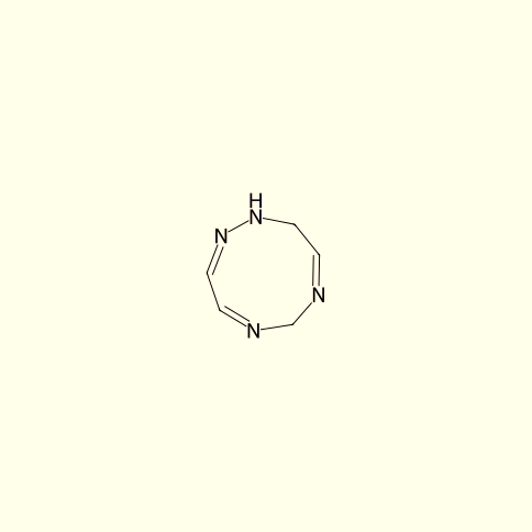 C1=N\C/N=C\CN\N=C/1